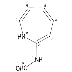 O=CNC1=CC=CC=CN1